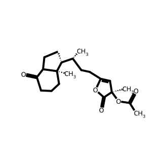 CC(=O)O[C@]1(C)C=C(CC[C@@H](C)[C@H]2CCC3C(=O)CCC[C@@]32C)OC1=O